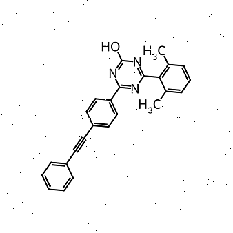 Cc1cccc(C)c1-c1nc(O)nc(-c2ccc(C#Cc3ccccc3)cc2)n1